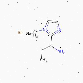 CCC(N)c1nccn1C.[Br-].[Na+]